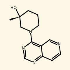 C[C@@]1(O)CCCN(c2ncnc3ccncc23)C1